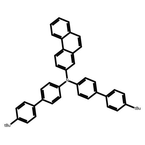 CC(C)(C)c1ccc(-c2ccc(N(c3ccc(-c4ccc(C(C)(C)C)cc4)cc3)c3ccc4c(ccc5ccccc54)c3)cc2)cc1